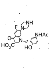 CC(=O)Nc1ccc(O)cc1.O=C(O)c1cn(C2CC2)c2cc(N3CCNCC3)c(F)cc2c1=O